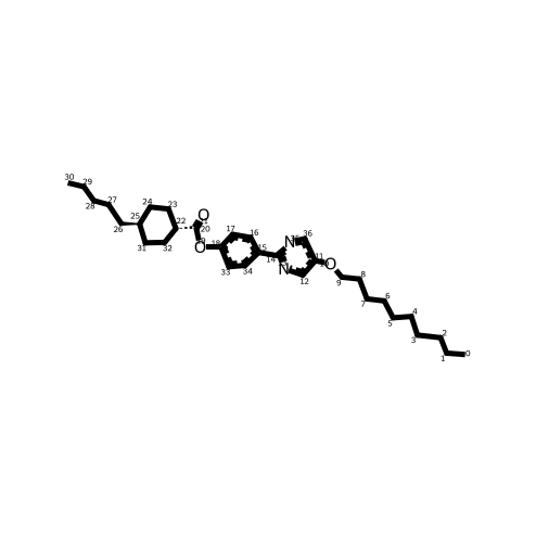 CCCCCCCCCCOc1cnc(-c2ccc(OC(=O)[C@H]3CC[C@H](CCCCC)CC3)cc2)nc1